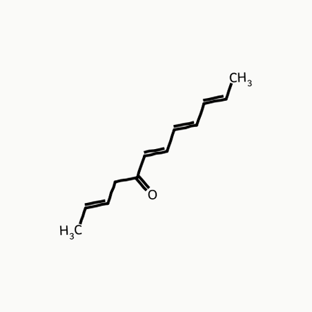 CC=CC=CC=CC(=O)CC=CC